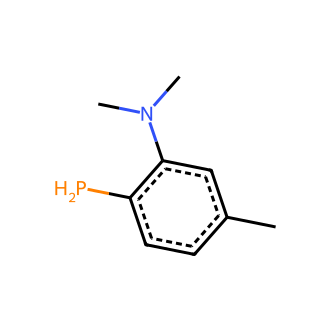 Cc1ccc(P)c(N(C)C)c1